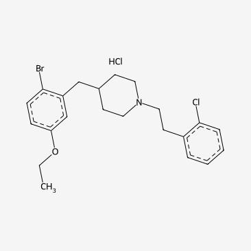 CCOc1ccc(Br)c(CC2CCN(CCc3ccccc3Cl)CC2)c1.Cl